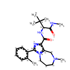 CNC(=O)[C@@H](NC(=O)c1nc(-c2ccccc2C)n2c1CN(C)CCC2)C(C)(C)C